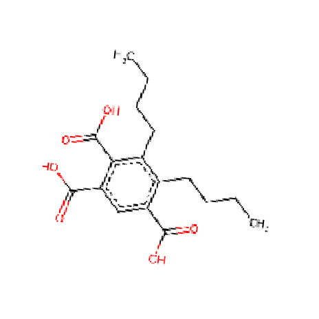 CCCCc1c(C(=O)O)cc(C(=O)O)c(C(=O)O)c1CCCC